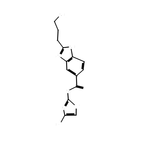 Cc1csc(NC(=O)c2ccc3[nH]c(CCCN)nc3c2)n1